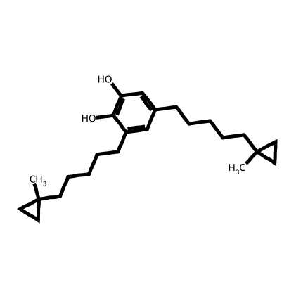 CC1(CCCCCc2cc(O)c(O)c(CCCCCC3(C)CC3)c2)CC1